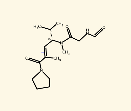 C/C(=C\[C@H](C(C)C)N(C)C(=O)CNC=O)C(=O)N1CCCC1